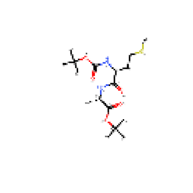 CSCC[C@H](NC(=O)OC(C)(C)C)C(=O)N[C@@H](C)C(=O)OC(C)(C)C